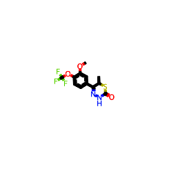 COc1cc(C2=NNC(=O)SC2C)ccc1OC(F)(F)F